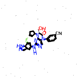 N#Cc1cccc(N2C(=O)[C@@H](CO)N(C3CCCC3)c3nc(Nc4cc(F)c5[nH]ncc5c4)ncc32)c1